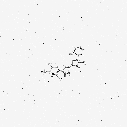 CCc1cc(N2C=C(c3cc(-c4ccccc4Cl)n(CC)n3)ON2)c(C)nc1OC